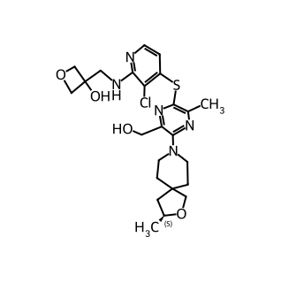 Cc1nc(N2CCC3(CC2)CO[C@@H](C)C3)c(CO)nc1Sc1ccnc(NCC2(O)COC2)c1Cl